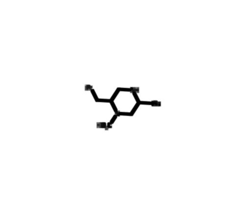 CC(C)CC1CNC(C(C)(C)C)CN1C(=O)O